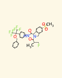 CC(CF)C(=O)N1Cc2cc(S(C)(=O)=O)ccc2C1C(=O)Nc1ccc(C(OCc2ccccc2)(C(F)(F)F)C(F)(F)F)cc1